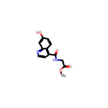 CC(C)(C)OC(=O)CNC(=O)c1ccnc2cc(O)ccc12